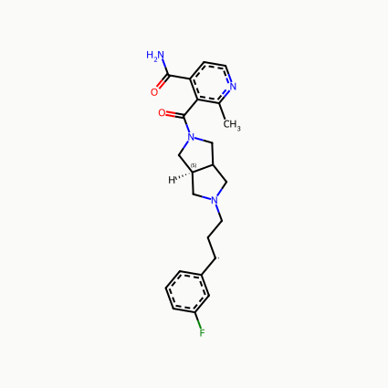 Cc1nccc(C(N)=O)c1C(=O)N1CC2CN(CC[CH]c3cccc(F)c3)C[C@H]2C1